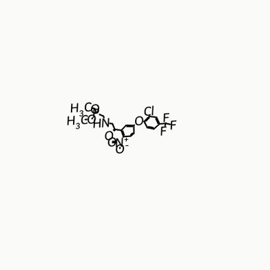 COP(CNCC(=O)c1cc(Oc2ccc(C(F)(F)F)cc2Cl)ccc1[N+](=O)[O-])OC